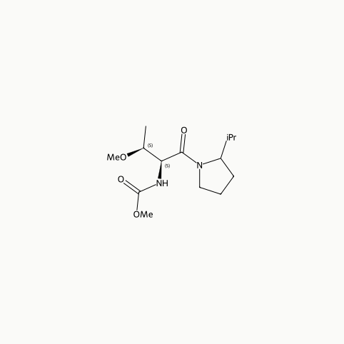 COC(=O)N[C@H](C(=O)N1CCCC1C(C)C)[C@H](C)OC